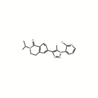 Cc1c(-c2ccc3c(c2)CCN(C(C)C)C3=O)nnn1-c1cccnc1F